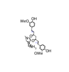 CCN1C=CN(C)C1.COc1cc(/C=C/C(=O)CC(=O)/C=C/c2ccc(O)c(OC)c2)ccc1O.N